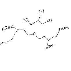 CCCCCCCCCCCC(CCCCCCCCCC)CCOCCC(CCCCCCCCCC)CCCCCCCCCCC.OCC(O)CO